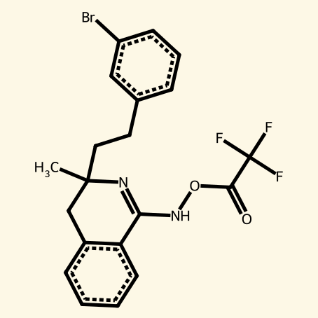 CC1(CCc2cccc(Br)c2)Cc2ccccc2C(NOC(=O)C(F)(F)F)=N1